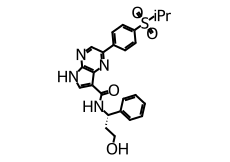 CC(C)S(=O)(=O)c1ccc(-c2cnc3[nH]cc(C(=O)N[C@@H](CCO)c4ccccc4)c3n2)cc1